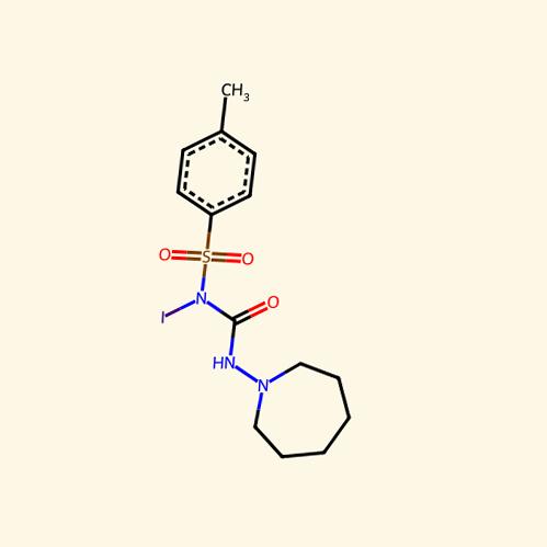 Cc1ccc(S(=O)(=O)N(I)C(=O)NN2CCCCCC2)cc1